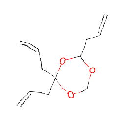 C=CCC1OCOC(CC=C)(CC=C)O1